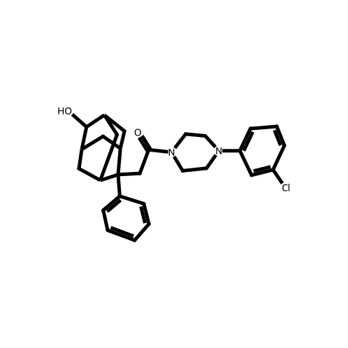 O=C(CC1(c2ccccc2)C2CC3CC1CC(C2)C3O)N1CCN(c2cccc(Cl)c2)CC1